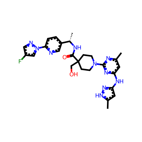 Cc1cc(Nc2cc(C)[nH]n2)nc(N2CCC(CO)(C(=O)N[C@@H](C)c3ccc(-n4cc(F)cn4)nc3)CC2)n1